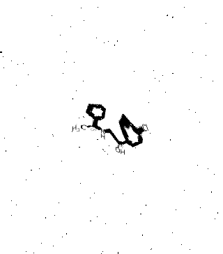 C[C@H](NC[C@@H](O)c1ccc(Cl)cc1)c1ccccc1